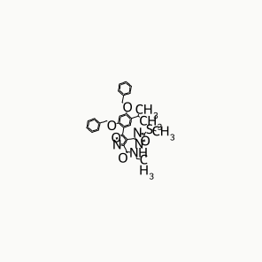 CCNC(=O)c1noc(-c2cc(C(C)C)c(OCc3ccccc3)cc2OCc2ccccc2)c1-c1noc(SC)n1